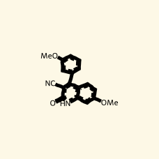 COc1cccc(-c2c(C#N)c(=O)[nH]c3cc(OC)ccc23)c1